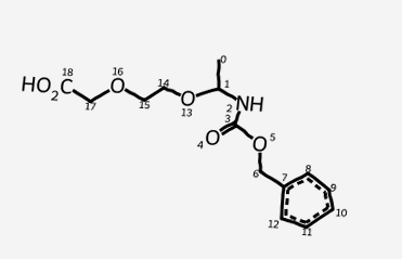 CC(NC(=O)OCc1ccccc1)OCCOCC(=O)O